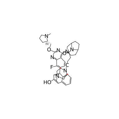 CN1CCN(CCCC(=O)N2C3CCC2CN(c2nc(OC[C@@H]4CCCN4C)nc4c(F)c(-c5cc(O)cc6ccccc56)ccc24)CC3)CC1